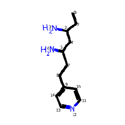 CCC(N)CC(N)CCc1ccncc1